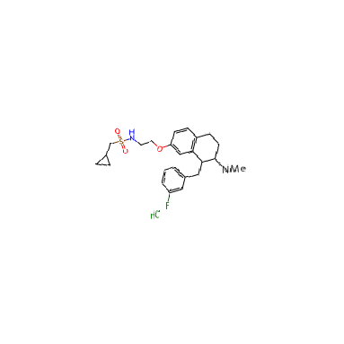 CNC1CCc2ccc(OCCNS(=O)(=O)CC3CC3)cc2C1Cc1cccc(F)c1.Cl